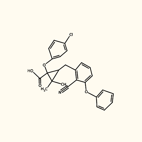 CC1(C)C(Cc2cccc(Oc3ccccc3)c2C#N)C1(Oc1ccc(Cl)cc1)C(=O)O